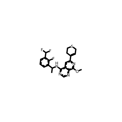 COc1nc(C2=CCSCC2)cc2c(NC(C)c3cccc(C(F)F)c3F)ncnc12